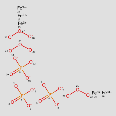 O=P([O-])([O-])[O-].O=P([O-])([O-])[O-].O=P([O-])([O-])[O-].[Fe+3].[Fe+3].[Fe+3].[Fe+3].[Fe+3].[O-]O[O-].[O-]O[O-].[O-]O[O-]